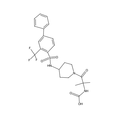 CC(C)(NC(=O)O)C(=O)N1CCC(NS(=O)(=O)c2ccc(-c3ccccc3)cc2C(F)(F)F)CC1